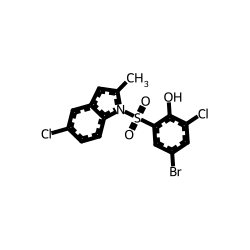 Cc1cc2cc(Cl)ccc2n1S(=O)(=O)c1cc(Br)cc(Cl)c1O